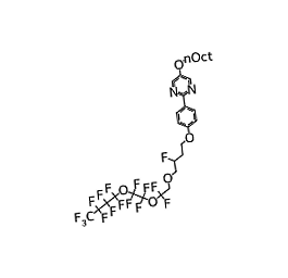 CCCCCCCCOc1cnc(-c2ccc(OCCC(F)COCC(F)(F)OC(F)(F)C(F)(F)OC(F)(F)C(F)(F)C(F)(F)C(F)(F)F)cc2)nc1